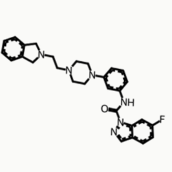 O=C(Nc1cccc(N2CCN(CCN3Cc4ccccc4C3)CC2)c1)n1ncc2ccc(F)cc21